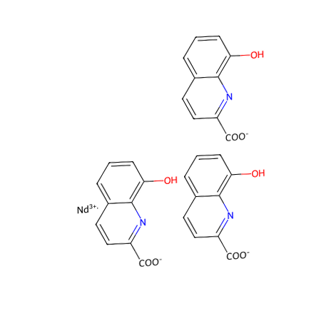 O=C([O-])c1ccc2cccc(O)c2n1.O=C([O-])c1ccc2cccc(O)c2n1.O=C([O-])c1ccc2cccc(O)c2n1.[Nd+3]